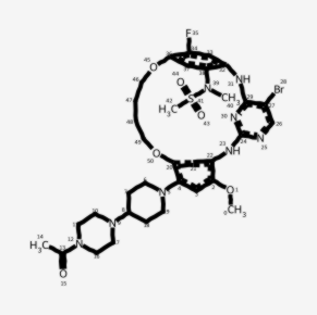 COc1cc(N2CCC(N3CCN(C(C)=O)CC3)CC2)c2cc1Nc1ncc(Br)c(n1)Nc1cc(F)c(cc1N(C)S(C)(=O)=O)OCCCCO2